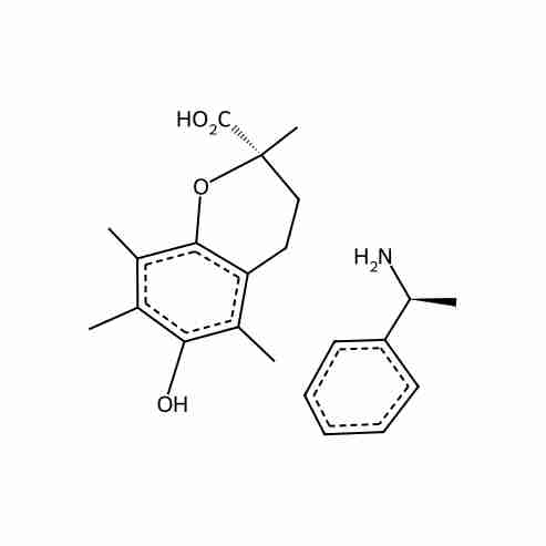 C[C@H](N)c1ccccc1.Cc1c(C)c2c(c(C)c1O)CC[C@@](C)(C(=O)O)O2